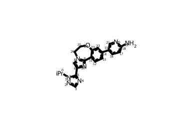 CC(C)n1ncnc1-c1cn2c(n1)-c1ccc(-c3ccc(N)nc3)cc1OCC2